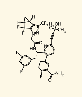 CC(C)(O)C#Cc1ccc(C2=CC(C(N)=O)=C(F)CC2)c([C@H](Cc2cc(F)cc(F)c2)NC(=O)Cn2nc(C(F)(F)F)c3c2C(F)(F)[C@@H]2C[C@H]32)n1